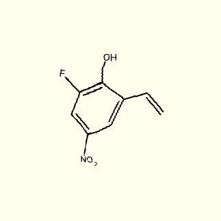 C=Cc1cc([N+](=O)[O-])cc(F)c1O